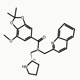 COc1cc(C(=O)N(Cc2ccc3ccccc3n2)C[C@@H]2CCCN2)cc2c1OC(C)(C)O2